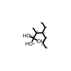 CCCC(CC)C(C)C(O)(O)O